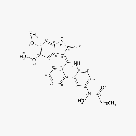 CNC(=O)N(C)c1ccc(N/C(=C2\C(=O)Nc3cc(OC)c(OC)cc32)c2ccccc2)cc1